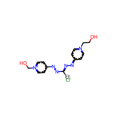 CCC(N=Nc1cc[n+](CO)cc1)=NN=c1ccn(CCO)cc1.[Cl-]